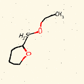 CCO[SiH2]C1CCCO1